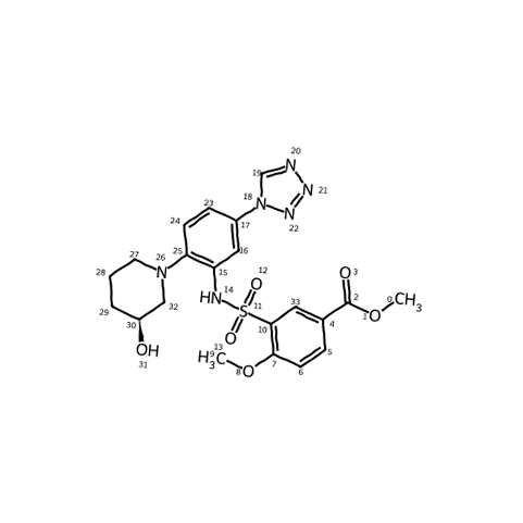 COC(=O)c1ccc(OC)c(S(=O)(=O)Nc2cc(-n3cnnn3)ccc2N2CCC[C@H](O)C2)c1